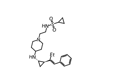 CC/C(=C\c1ccccc1)[C@H]1C[C@@H]1NC1CCN(CCNS(=O)(=O)C2CC2)CC1